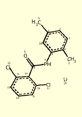 Cc1ccc(C)c(PC(=O)c2c(Cl)cccc2Cl)c1.[Li]